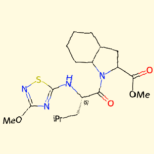 COC(=O)C1CC2CCCCC2N1C(=O)[C@H](CC(C)C)Nc1nc(OC)ns1